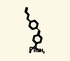 C=CCC[C@H]1CC[C@H](C=C2CCC([SiH]([SiH3])OC)CC2)CC1